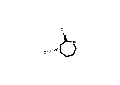 O=C1CCCCCN1.[Al+3].[Cl-].[Cl-].[Cl-]